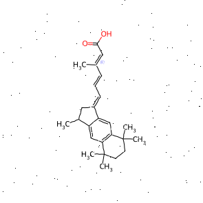 C/C(C=CC=C1CC(C)c2cc3c(cc21)C(C)(C)CCC3(C)C)=C\C(=O)O